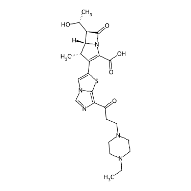 CCN1CCN(CCC(=O)c2ncn3cc(C4=C(C(=O)O)N5C(=O)[C@H]([C@@H](C)O)[C@H]5[C@H]4C)sc23)CC1